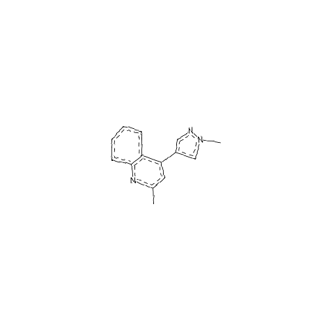 Cc1cc(-c2cnn(C)c2)c2ccccc2n1